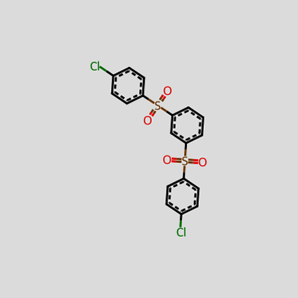 O=S(=O)(c1ccc(Cl)cc1)c1cccc(S(=O)(=O)c2ccc(Cl)cc2)c1